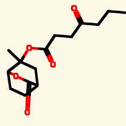 CCCC(=O)CCC(=O)OC1(C)CC2CCC1OC2=O